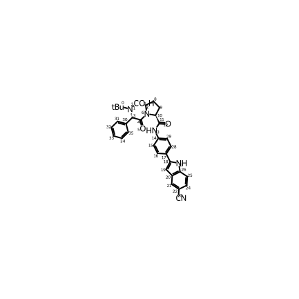 CC(C)(C)N(C(=O)O)[C@H](C(=O)N1CCC[C@H]1C(=O)Nc1ccc(-c2cc3cc(C#N)ccc3[nH]2)cc1)c1ccccc1